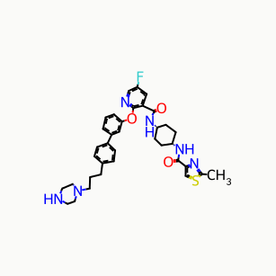 Cc1nc(C(=O)N[C@H]2CC[C@@H](NC(=O)c3cc(F)cnc3Oc3cccc(-c4ccc(CCCN5CCNCC5)cc4)c3)CC2)cs1